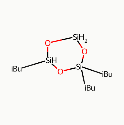 CCC(C)[SiH]1O[SiH2]O[Si](C(C)CC)(C(C)CC)O1